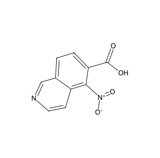 O=C(O)c1ccc2cnccc2c1[N+](=O)[O-]